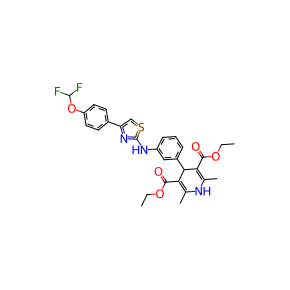 CCOC(=O)C1=C(C)NC(C)=C(C(=O)OCC)C1c1cccc(Nc2nc(-c3ccc(OC(F)F)cc3)cs2)c1